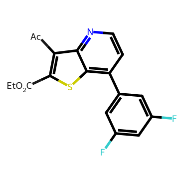 CCOC(=O)c1sc2c(-c3cc(F)cc(F)c3)ccnc2c1C(C)=O